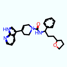 O=C(NC(CCC1CCCO1)c1ccccc1)N1CC=C(c2c[nH]c3ncccc23)CC1